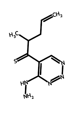 C=CCC(C)C(=S)c1cnnnc1NN